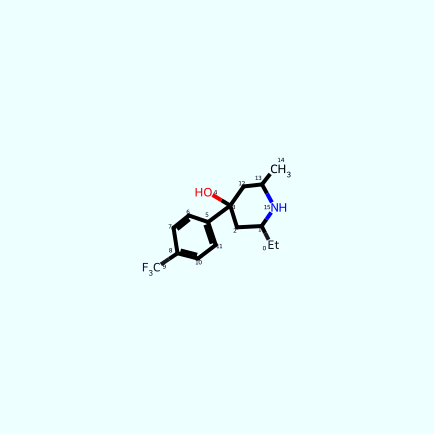 CCC1CC(O)(c2ccc(C(F)(F)F)cc2)CC(C)N1